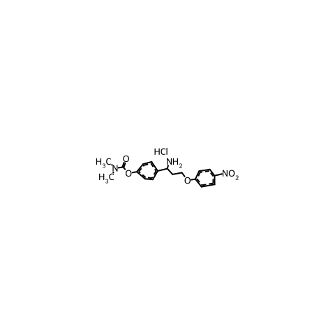 CN(C)C(=O)Oc1ccc(C(N)CCOc2ccc([N+](=O)[O-])cc2)cc1.Cl